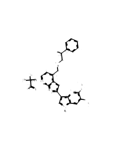 COc1cc2c(nc1OC)c(-c1cc3c(CNCC(O)c4ccccc4)ccnc3[nH]1)cn2C.O=C(O)C(F)(F)F